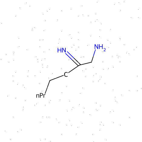 CCCCCC(=N)CN